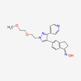 COCCOCCn1cc(-c2ccc3c(c2)CC/C3=N\O)c(-c2ccncc2)n1